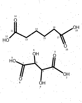 O=C(O)C(O)C(O)C(=O)O.O=C(O)CCCCC(=O)O